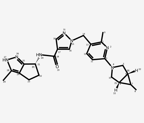 Cc1nc(N2C[C@@H]3C(C)[C@@H]3C2)ccc1Cn1cc(C(=O)N[C@@H]2CCc3c2n[nH]c3C)cn1